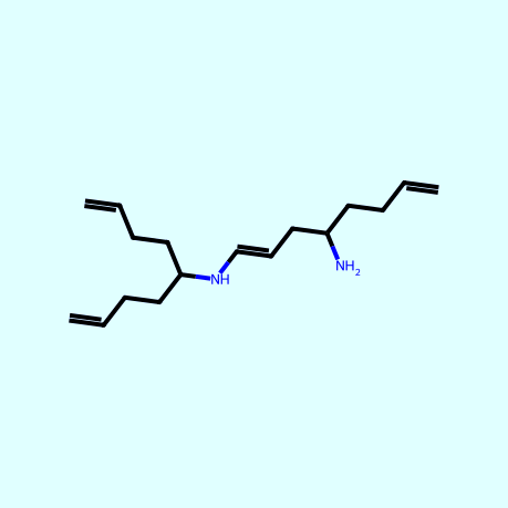 C=CCCC(N)C/C=C/NC(CCC=C)CCC=C